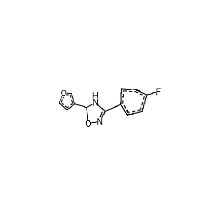 Fc1ccc(C2=NOC(c3ccoc3)N2)cc1